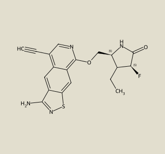 C#Cc1cnc(OC[C@H]2NC(=O)[C@@H](F)C2CC)c2cc3snc(N)c3cc12